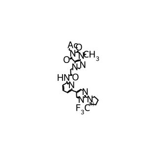 CC(=O)Cn1c(=O)c2c(ncn2CC(=O)Nc2cccc(-c3cnc(N4CCC[C@H]4C(F)(F)F)nc3)n2)n(C)c1=O